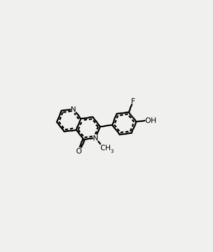 Cn1c(-c2ccc(O)c(F)c2)cc2ncccc2c1=O